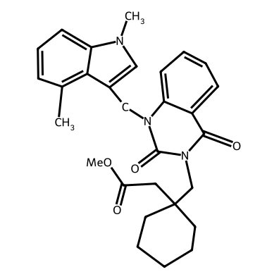 COC(=O)CC1(Cn2c(=O)c3ccccc3n(Cc3cn(C)c4cccc(C)c34)c2=O)CCCCC1